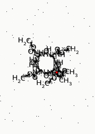 C=CCOC(=O)NC[C@H]1CNC(=O)N[C@@H](CNC(=O)OCC=C)CNC(=O)N(Cc2ccc(C)cc2OC)[C@@H](CNC(=O)OCC=C)CNC(=O)N[C@@H](CNC(=O)OCC=C)CNC(=O)N1